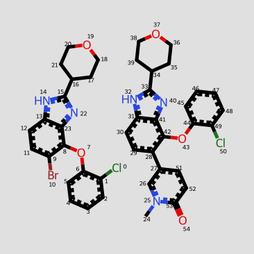 Clc1ccccc1Oc1c(Br)ccc2[nH]c(C3CCOCC3)nc12.Cn1cc(-c2ccc3[nH]c(C4CCOCC4)nc3c2Oc2ccccc2Cl)ccc1=O